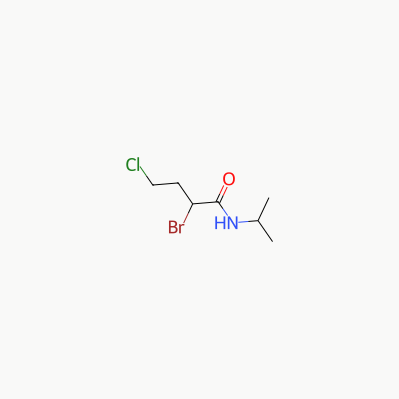 CC(C)NC(=O)C(Br)CCCl